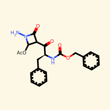 CC(=O)OC1C(C(=O)[C@H](Cc2ccccc2)NC(=O)OCc2ccccc2)C(=O)N1N